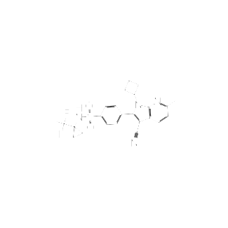 Cc1ccc2c(C#N)c(-c3ccc(S(=O)(=O)NC4(C(F)(F)F)CC4)cc3)n(C3CCC3)c2n1